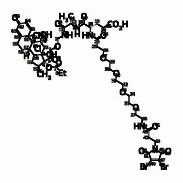 CCC(=O)O[C@]1(C(=O)COCNC(=O)[C@H](C)NC(=O)[C@H](CCC(=O)O)NC(=O)CCOCCOCCOCCOCCNC(=O)CCN2C(=O)C(Br)=C(Br)C2=O)[C@@H](C)CC2[C@@H]3CCC4=CC(=O)C=C[C@]4(C)[C@@]3(Cl)[C@@H](O)C[C@@]21C